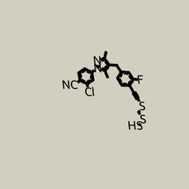 Cc1nn(-c2ccc(C#N)c(Cl)c2)c(C)c1Cc1ccc(C#CSCSS)c(F)c1